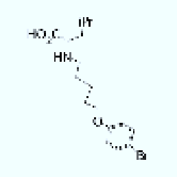 CC(C)C[C@H](NCCCCCOc1ccc(Br)cc1)C(=O)O